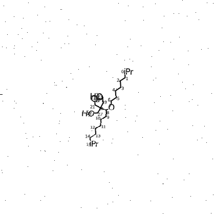 CC(C)CCCCCCOC(CCCCCCC(C)C)C(CO)(CO)CO